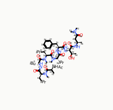 CC[C@H](C)[C@H](NC(=O)[C@H](CC(C)C)N(C)C(=O)[C@H](C)NC(C)=O)C(=O)N(C)[C@@H](CC(C)C)C(=O)N(C)[C@H](C(=O)N[C@@H](Cc1ccccc1)C(=O)N[C@H](C(=O)N[C@H](C)CC(=O)N(C)C)[C@@H](C)O)C(C)C